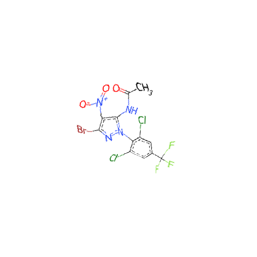 CC(=O)Nc1c([N+](=O)[O-])c(Br)nn1-c1c(Cl)cc(C(F)(F)F)cc1Cl